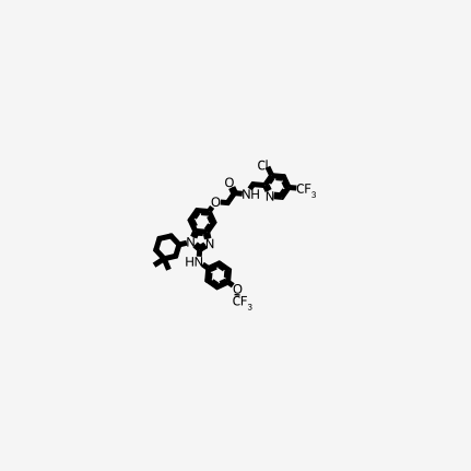 CC1(C)CCCC(n2c(Nc3ccc(OC(F)(F)F)cc3)nc3cc(OCC(=O)NCc4ncc(C(F)(F)F)cc4Cl)ccc32)C1